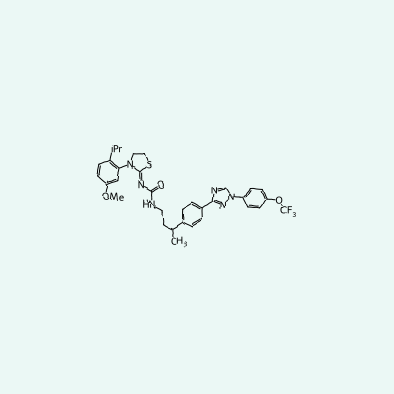 COc1ccc(C(C)C)c(N2CCS/C2=N\C(=O)NCCC(C)c2ccc(-c3ncn(-c4ccc(OC(F)(F)F)cc4)n3)cc2)c1